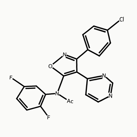 CC(=O)N(c1cc(F)ccc1F)c1onc(-c2ccc(Cl)cc2)c1-c1ccncn1